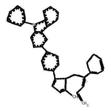 C=C/C=C(\CC1C(C)=CC=C1c1ccc(-c2ccc3c(c2)c2ccccc2n3-c2ccccc2)cc1)C1=CC=CCC1